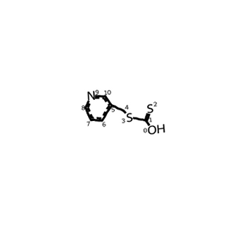 OC(=S)SCc1cccnc1